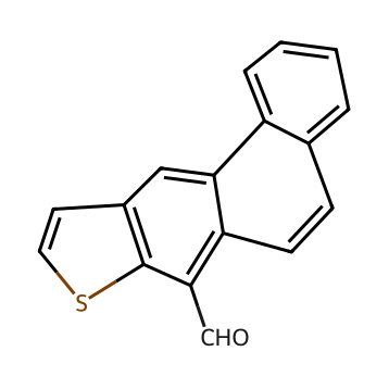 O=Cc1c2ccc3ccccc3c2cc2ccsc12